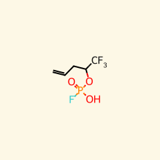 C=CCC(OP(=O)(O)F)C(F)(F)F